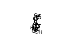 CCC(=O)C(=O)N1CCC(Cn2cc3c(n2)-c2c(oc(C(=O)O)c2C(F)(F)F)CC3C)CC1